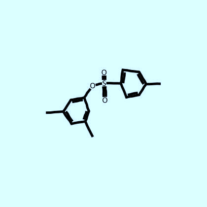 Cc1ccc(S(=O)(=O)Oc2cc(C)cc(C)c2)cc1